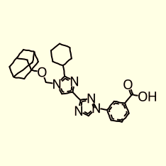 O=C(O)c1cccc(-n2cnc(-c3cn(COC45CC6CC(CC(C6)C4)C5)c(C4CCCCC4)n3)n2)c1